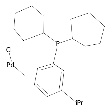 CC(C)c1cccc(P(C2CCCCC2)C2CCCCC2)c1.[CH3][Pd][Cl]